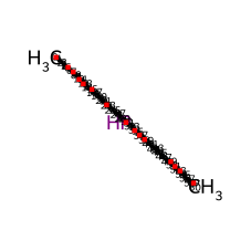 CCCCCCCCCCCCCCCCCCCCCCCCCCCCCCPCCCCCCCCCCCCCCCCCCCCCCCCCCCCCC